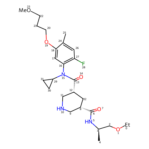 CCOC[C@@H](C)NC(=O)[C@@H]1CNC[C@H](C(=O)N(c2cc(OCCCOC)c(C)cc2F)C2CC2)C1